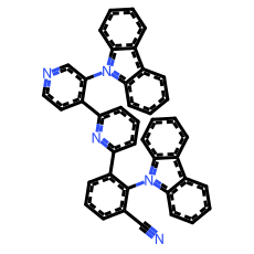 N#Cc1cccc(-c2cccc(-c3ccncc3-n3c4ccccc4c4ccccc43)n2)c1-n1c2ccccc2c2ccccc21